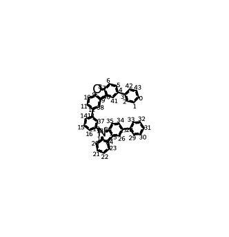 c1ccc(-c2ccc3oc4ccc(-c5cccc(-n6c7ccccc7c7cc(-c8ccccc8)ccc76)c5)cc4c3c2)cc1